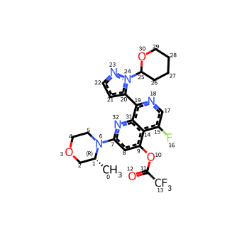 C[C@@H]1COCCN1c1cc(OC(=O)C(F)(F)F)c2c(F)cnc(-c3ccnn3C3CCCCO3)c2n1